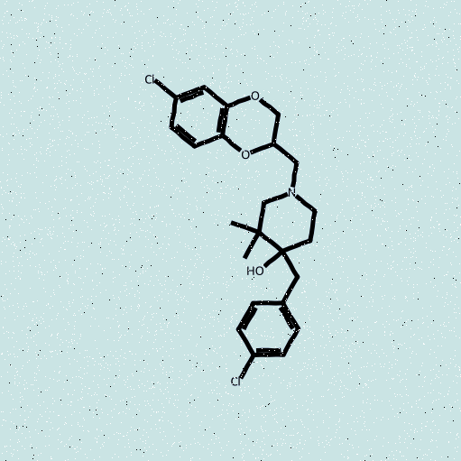 CC1(C)CN(CC2COc3cc(Cl)ccc3O2)CCC1(O)Cc1ccc(Cl)cc1